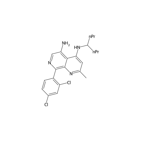 CCCC(CCC)Nc1cc(C)nc2c(-c3ccc(Cl)cc3Cl)ncc(N)c12